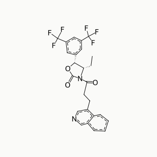 CC[C@H]1[C@@H](c2cc(C(F)(F)F)cc(C(F)(F)F)c2)OC(=O)N1C(=O)CCc1cncc2ccccc12